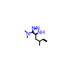 C=CC(C)Cc1[nH]nnc1N(C)C